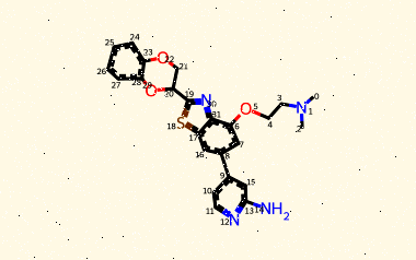 CN(C)CCOc1cc(-c2ccnc(N)c2)cc2sc(C3COc4ccccc4O3)nc12